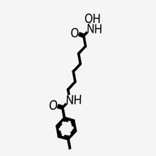 Cc1ccc(C(=O)NCCCCCCC(=O)NO)cc1